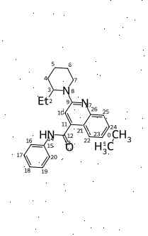 CC.CCC1CCCCN1c1cc(C(=O)Nc2ccccc2)c2ccccc2n1